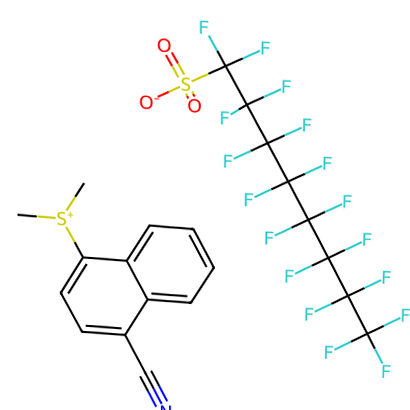 C[S+](C)c1ccc(C#N)c2ccccc12.O=S(=O)([O-])C(F)(F)C(F)(F)C(F)(F)C(F)(F)C(F)(F)C(F)(F)C(F)(F)C(F)(F)F